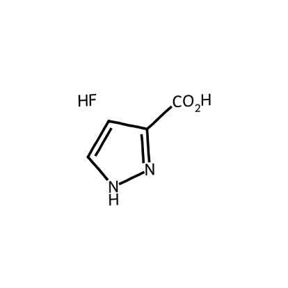 F.O=C(O)c1cc[nH]n1